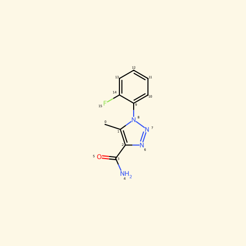 Cc1c(C(N)=O)nnn1-c1ccccc1F